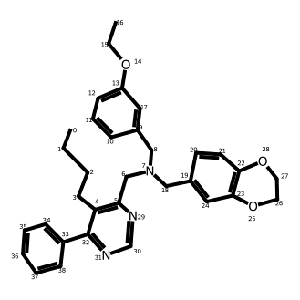 CCCCc1c(CN(Cc2cccc(OCC)c2)Cc2ccc3c(c2)OCCO3)ncnc1-c1ccccc1